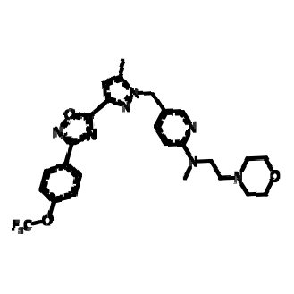 Cc1cc(-c2nc(-c3ccc(OC(F)(F)F)cc3)no2)nn1Cc1ccc(N(C)CCN2CCOCC2)nc1